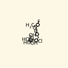 CC1OC(COc2ccc(Cc3cc([C@@H]4O[C@H](CO)[C@@H](O)[C@H](O)[C@H]4O)ccc3Cl)cc2)c2ccc(F)cc21